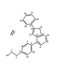 CCCc1ccc(-c2cccc3c2C=C(c2ccccc2)[CH]3)cc1.[Zr]